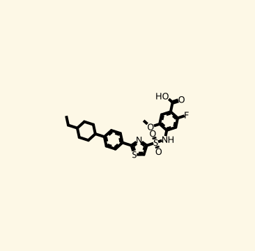 CCC1CCC(c2ccc(-c3nc(S(=O)(=O)Nc4cc(F)c(C(=O)O)cc4OC)cs3)cc2)CC1